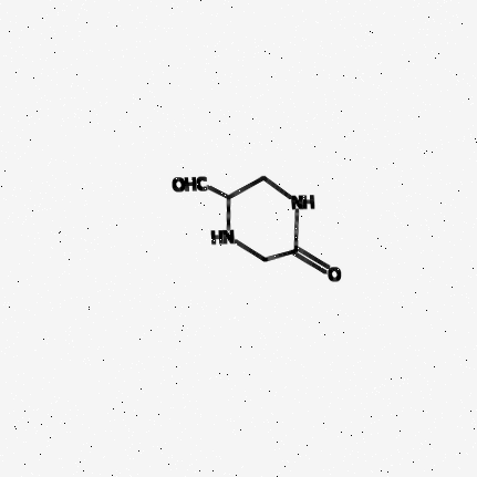 O=CC1CNC(=O)CN1